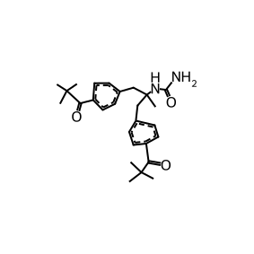 CC(Cc1ccc(C(=O)C(C)(C)C)cc1)(Cc1ccc(C(=O)C(C)(C)C)cc1)NC(N)=O